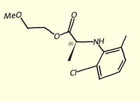 COCCOC(=O)[C@H](C)Nc1c(C)cccc1Cl